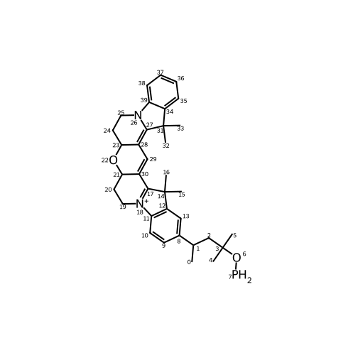 CC(CC(C)(C)OP)c1ccc2c(c1)C(C)(C)C1=[N+]2CCC2OC3CCN4C(=C3C=C12)C(C)(C)c1ccccc14